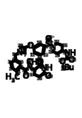 Cc1ccc(CN2CC(Oc3cccc([S+]([O-])N4CCC(NC(=O)OC(C)(C)C)CC4)c3)C2)cc1C(=O)N(C=O)C1CCC(=O)NC1=O